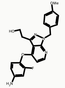 COc1ccc(Cn2nc(CCO)c3c(Oc4ccc(N)cc4F)ccnc32)cc1